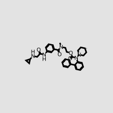 CN(CCOC(=O)N(c1ccccc1-c1ccccc1)N1CC[CH]CC1)C(=O)c1cccc(NC(=O)CNC2CC2)c1